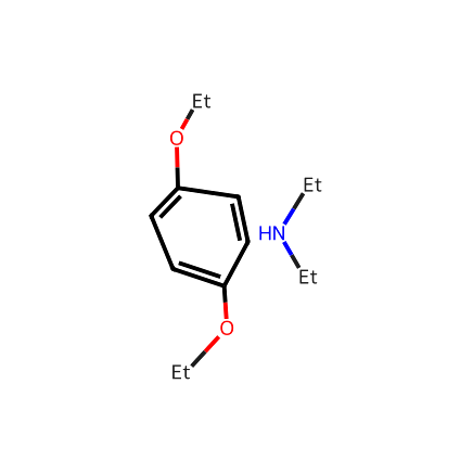 CCNCC.CCOc1ccc(OCC)cc1